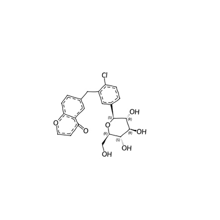 O=c1ccoc2ccc(Cc3cc([C@@H]4O[C@H](CO)[C@@H](O)[C@H](O)[C@H]4O)ccc3Cl)cc12